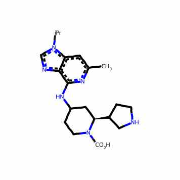 Cc1cc2c(ncn2C(C)C)c(NC2CCN(C(=O)O)[C@H](C3CCNC3)C2)n1